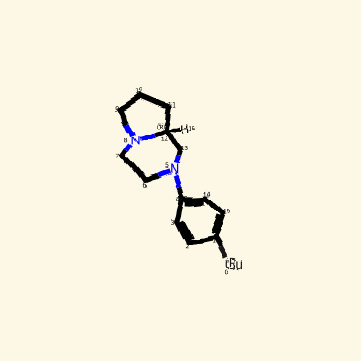 CC(C)(C)c1ccc(N2CCN3CCC[C@@H]3C2)cc1